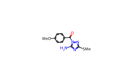 COc1ccc(C(=O)n2nc(SC)nc2N)cc1